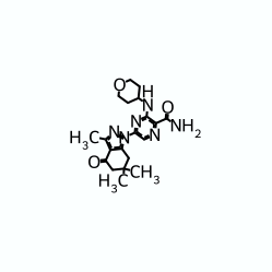 Cc1nn(-c2cnc(C(N)=O)c(NC3CCOCC3)n2)c2c1C(=O)CC(C)(C)C2